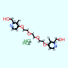 Cc1c(OCCOCCOCCOc2ccnc(CO)c2C)ccnc1CO.Cl.Cl